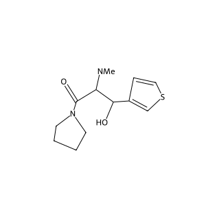 CNC(C(=O)N1CCCC1)C(O)c1ccsc1